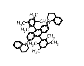 Cc1cc(C)c(C)c(-c2c3ccc(N4CCCc5ccccc54)cc3c(-c3c(C)c(C)cc(C)c3C)c3ccc(N4CCCc5ccccc54)cc23)c1C